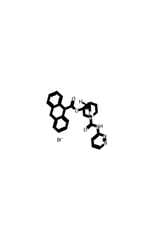 O=C(O[C@H]1C[N+]2(C(=O)Nc3cccnn3)CCC1CC2)C1c2ccccc2Cc2ccccc21.[Br-]